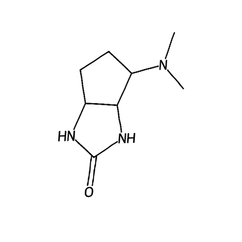 CN(C)C1CCC2NC(=O)NC21